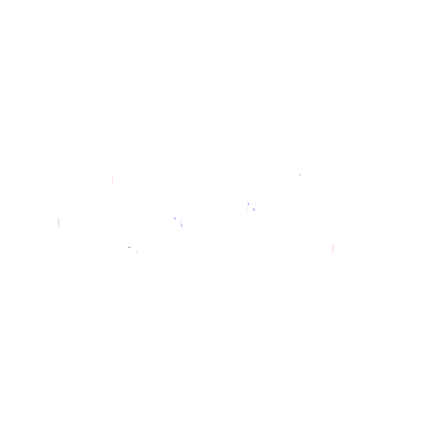 CC(=O)C(/C=N/CC/N=C/C(C(C)=O)=C(/C)O)=C(\C)O